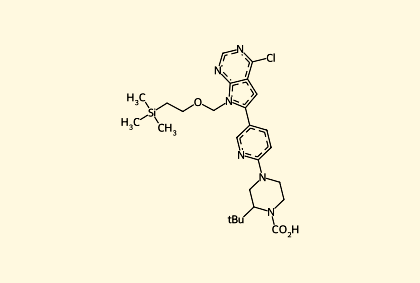 CC(C)(C)C1CN(c2ccc(-c3cc4c(Cl)ncnc4n3COCC[Si](C)(C)C)cn2)CCN1C(=O)O